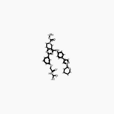 CCC(CC)NC(=O)COc1cccc(-c2nc3c(c(Nc4ccc(-c5cnn(C6CCCCO6)c5)cc4)n2)CN(C(=O)OC(C)(C)C)CC3)c1